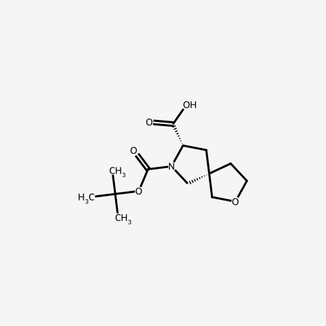 CC(C)(C)OC(=O)N1C[C@@]2(CCOC2)C[C@H]1C(=O)O